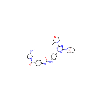 C[C@H]1COCCN1c1nc(-c2ccc(NC(=O)Nc3ccc(C(=O)N4CC[C@@H](N(C)C)C4)cc3)cc2)nc(N2CC3CCC(C2)O3)n1